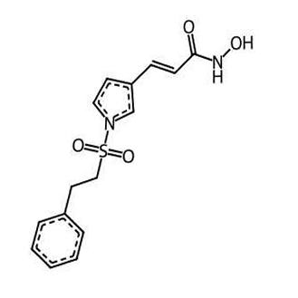 O=C(C=Cc1ccn(S(=O)(=O)CCc2ccccc2)c1)NO